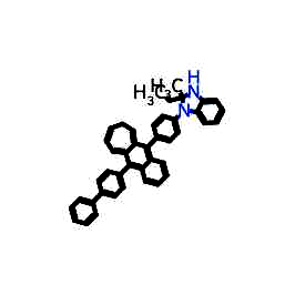 CCC1(C)Nc2ccccc2N1c1ccc(-c2c3c(c(-c4ccc(-c5ccccc5)cc4)c4ccccc24)=CC=CCC=3)cc1